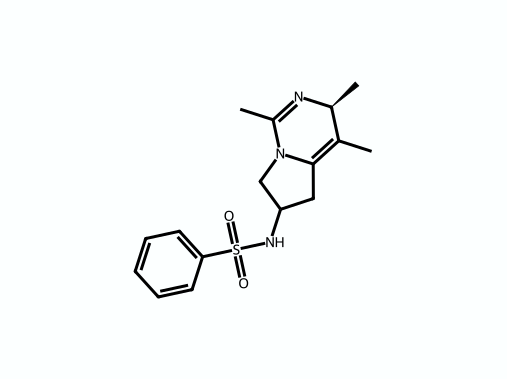 CC1=N[C@@H](C)C(C)=C2CC(NS(=O)(=O)c3ccccc3)CN12